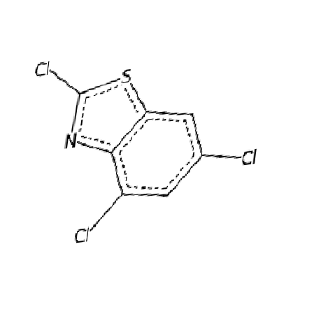 Clc1cc(Cl)c2nc(Cl)sc2c1